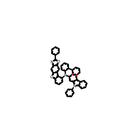 c1ccc(-c2nc3cc4oc5cccc(N(c6ccc7c8ccccc8n(-c8ccccc8)c7c6)c6ccccc6-c6ccccc6)c5c4cc3o2)cc1